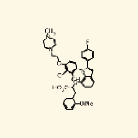 COc1ccccc1C[C@@H](Oc1cccc2cc(-c3ccc(F)cc3)n(-c3ccc(OCCN4CCN(C)CC4)c(Cl)c3C)c12)C(=O)O